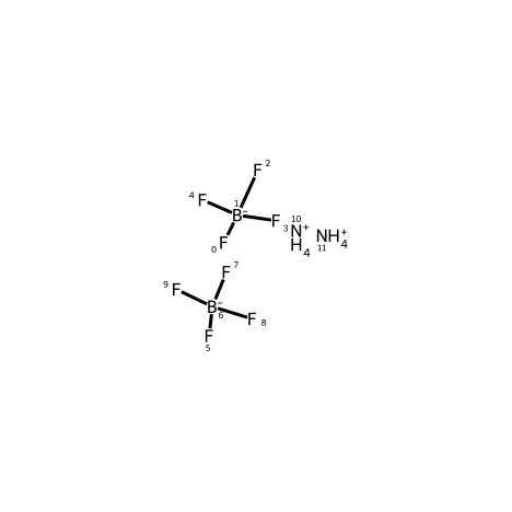 F[B-](F)(F)F.F[B-](F)(F)F.[NH4+].[NH4+]